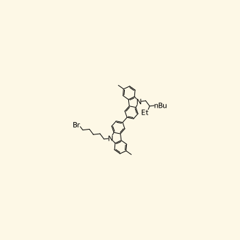 CCCCC(CC)Cn1c2ccc(C)cc2c2cc(-c3ccc4c(c3)c3cc(C)ccc3n4CCCCCBr)ccc21